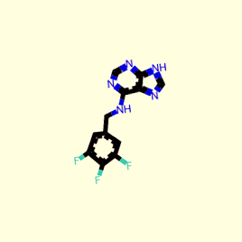 Fc1cc(CNc2ncnc3[nH]cnc23)cc(F)c1F